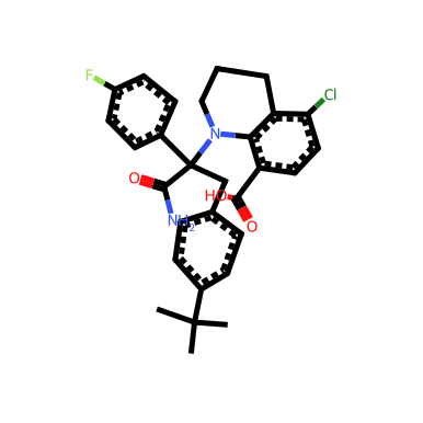 CC(C)(C)c1ccc(CC(C(N)=O)(c2ccc(F)cc2)N2CCCc3c(Cl)ccc(C(=O)O)c32)cc1